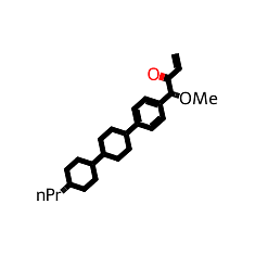 C=CC(=O)C(OC)c1ccc(C2CCC(C3CCC(CCC)CC3)CC2)cc1